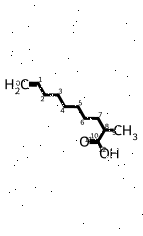 C=CCCCCCCC(C)C(=O)O